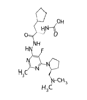 Cc1nc(NNC(=O)[C@@H](CNC(=O)O)CC2CCCC2)c(F)c(N2CCC[C@H]2CN(C)C)n1